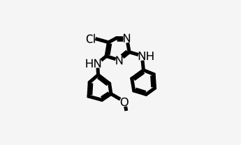 COc1cccc(Nc2nc(Nc3ccccc3)ncc2Cl)c1